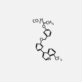 CC(Oc1cccc(COc2cccc(-c3ccnc4c(C(F)(F)F)cccc34)c2)c1)C(=O)O